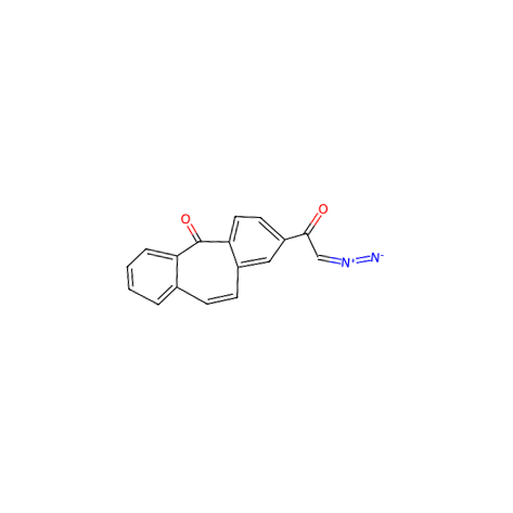 [N-]=[N+]=CC(=O)c1ccc2c(=O)c3ccccc3ccc2c1